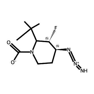 CC(C)(C)C1[C@H](F)[C@@H](N=[N+]=N)CCN1C(=O)[O-]